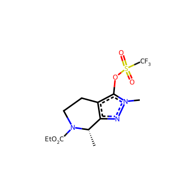 CCOC(=O)N1CCc2c(nn(C)c2OS(=O)(=O)C(F)(F)F)[C@@H]1C